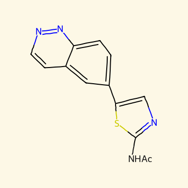 CC(=O)Nc1ncc(-c2ccc3nnccc3c2)s1